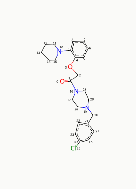 O=C(COc1ccccc1N1CCCCC1)N1CCN(Cc2ccc(Cl)cc2)CC1